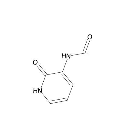 O=[C]Nc1ccc[nH]c1=O